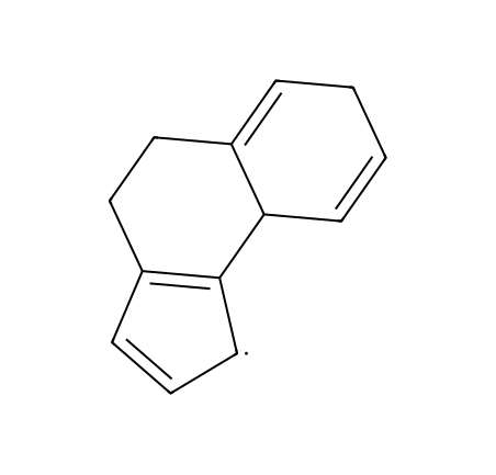 [CH]1C=CC2=C1C1C=CCC=C1CC2